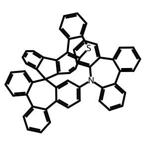 c1ccc2c(c1)-c1ccccc1N(c1ccc3c(c1)C1(c4ccccc4-c4ccccc4-3)c3ccccc3-c3c1ccc1sc4ccccc4c31)c1ccccc1-2